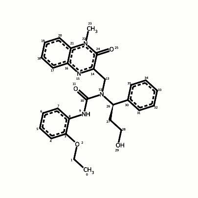 CCOc1ccccc1NC(=O)N(Cc1nc2ccccc2n(C)c1=O)[C@H](CCO)c1ccccc1